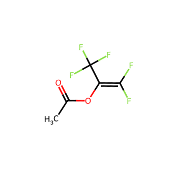 CC(=O)OC(=C(F)F)C(F)(F)F